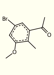 COc1cc(Br)cc(C(C)=O)c1C